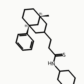 C[C@@]12CCC[C@@](c3ccccc3)(CC(CCC(=S)NC3CCNCC3)C1)C2